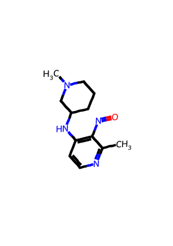 Cc1nccc(NC2CCCN(C)C2)c1N=O